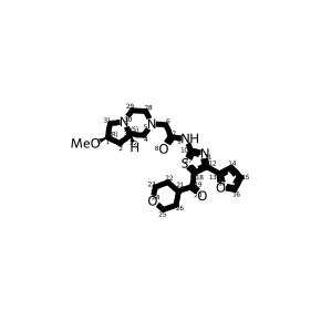 CO[C@@H]1C[C@H]2CN(CC(=O)Nc3nc(-c4ccco4)c(C(=O)C4CCOCC4)s3)CCN2C1